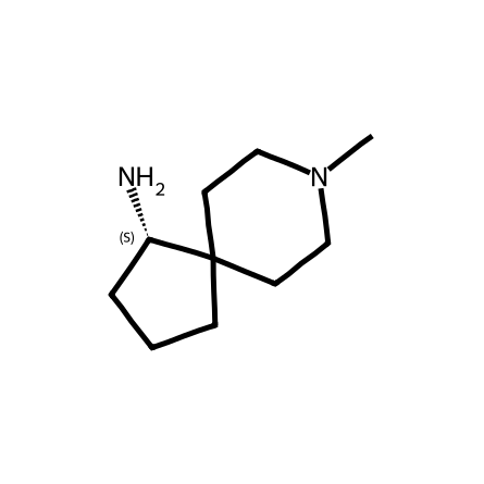 CN1CCC2(CCC[C@@H]2N)CC1